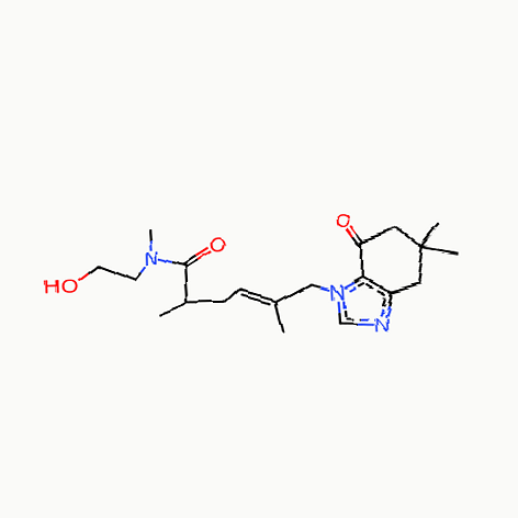 C/C(=C\CC(C)C(=O)N(C)CCO)Cn1cnc2c1C(=O)CC(C)(C)C2